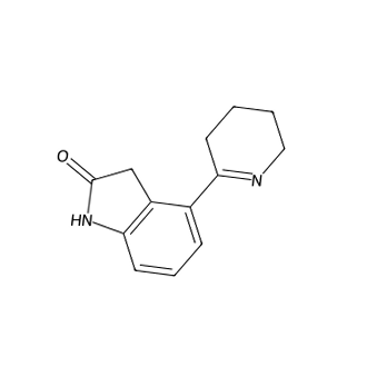 O=C1Cc2c(cccc2C2=NCCCC2)N1